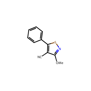 COc1nsc(-c2ccccc2)c1C#N